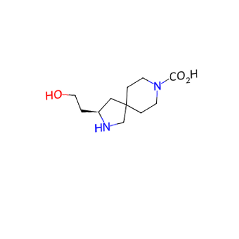 O=C(O)N1CCC2(CC1)CN[C@@H](CCO)C2